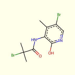 Cc1c(Br)cnc(O)c1NC(=O)C(C)(C)Br